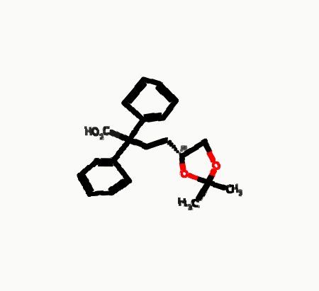 CC1(C)OC[C@@H](CCC(C(=O)O)(c2ccccc2)c2ccccc2)O1